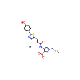 CCn1cc(NC(=O)CCc2cnc(-c3ccc(O)cc3)s2)c(C(=O)[O-])c1.[K+]